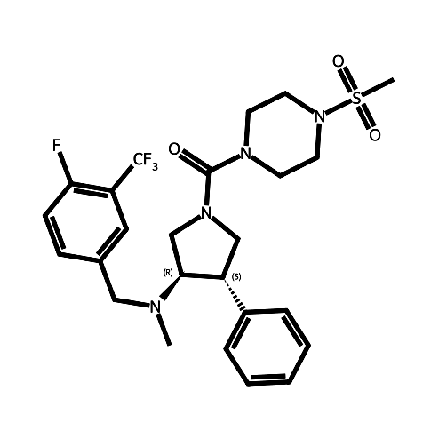 CN(Cc1ccc(F)c(C(F)(F)F)c1)[C@H]1CN(C(=O)N2CCN(S(C)(=O)=O)CC2)C[C@@H]1c1ccccc1